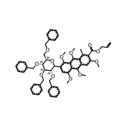 C=CCOC(=O)c1c(OC)cc2c(OC)c3c(OC)cc(C4O[C@H](COCc5ccccc5)[C@@H](OCc5ccccc5)[C@H](OCc5ccccc5)[C@H]4OCc4ccccc4)c(OC)c3c(OC)c2c1C